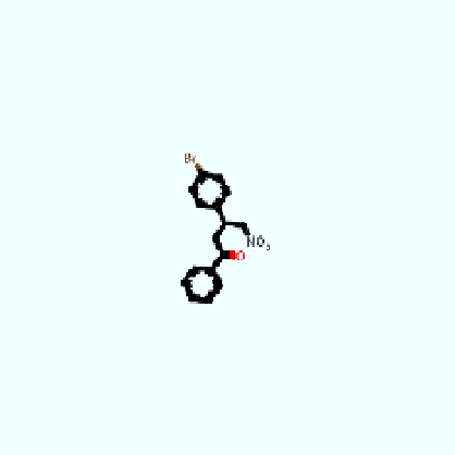 O=C(CC(C[N+](=O)[O-])c1ccc(Br)cc1)c1ccccc1